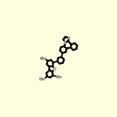 CC(C)(C)c1cc(-c2cccc(-c3ccc4c(c3)c3ccccc3c3nccn43)c2)c2oc3c(C(C)(C)C)cc(C(C)(C)C)cc3c2c1